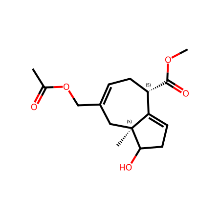 COC(=O)[C@H]1CC=C(COC(C)=O)C[C@@]2(C)C1=CCC2O